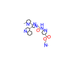 Cc1cccc(-c2nn(CC(=O)Nc3ccc(C(=O)OCCN(C)C)cn3)cc2-c2ccnc3ccccc23)n1